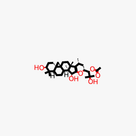 CC(=O)O[C@@H]([C@H]1C[C@@H](C)C2=C(O1)[C@H](O)[C@@]1(C)[C@@H]3CC[C@H]4C(C)(C)[C@@H](O)CC[C@@]45C[C@@]35CC[C@]21C)C(C)(C)O